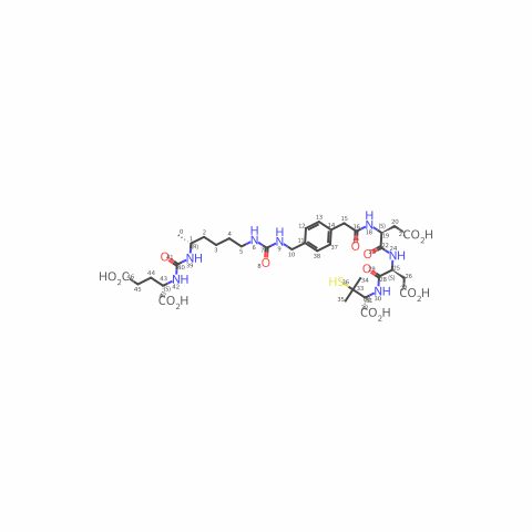 C[C@H](CCCCNC(=O)NCc1ccc(CC(=O)N[C@@H](CC(=O)O)C(=O)N[C@@H](CC(=O)O)C(=O)N[C@H](C(=O)O)C(C)(C)S)cc1)NC(=O)N[C@@H](CCC(=O)O)C(=O)O